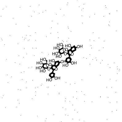 O=c1c(OC2O[C@H](CO)[C@H](O)[C@H](O)[C@H]2O)c(-c2ccc(O)c(O)c2)oc2cc(O)cc(O)c12.O=c1c(OC2O[C@H](CO)[C@H](O)[C@H](O)[C@H]2O)c(-c2ccc(O)c(O)c2)oc2cc(O)cc(O)c12